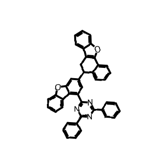 c1ccc(-c2nc(-c3ccccc3)nc(-c3cc(C4Cc5c(oc6ccccc56)-c5ccccc54)cc4oc5ccccc5c34)n2)cc1